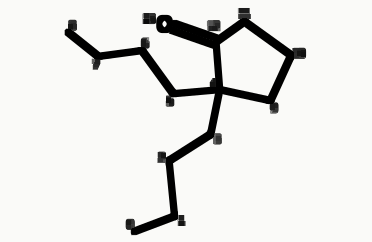 CCCCC1(CCCC)CCCC1=O